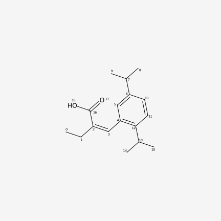 CCC(=Cc1cc(C(C)C)ccc1C(C)C)C(=O)O